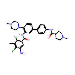 Cc1c(F)c(N)cc(C(=O)Nc2cc(-c3ccc(NC(=O)C4CCN(C)CC4)cc3)ccc2N2CCN(C)CC2)c1Cl